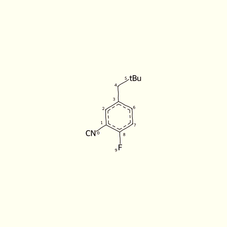 [C-]#[N+]c1cc(CC(C)(C)C)ccc1F